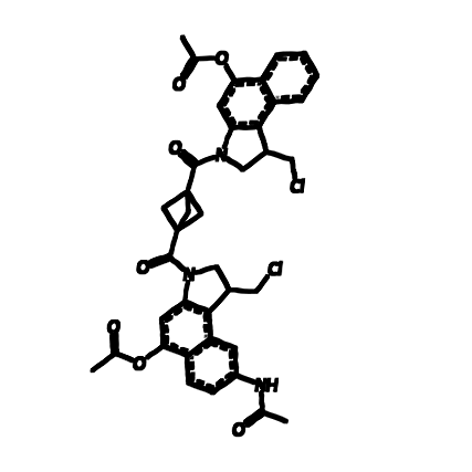 CC(=O)Nc1ccc2c(OC(C)=O)cc3c(c2c1)C(CCl)CN3C(=O)C12CC(C(=O)N3CC(CCl)c4c3cc(OC(C)=O)c3ccccc43)(C1)C2